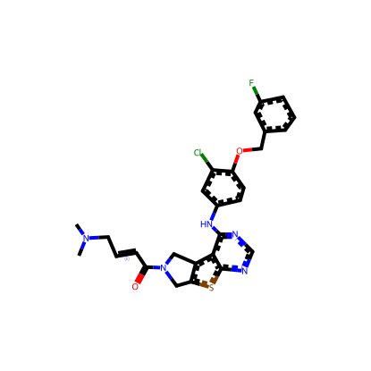 CN(C)C/C=C/C(=O)N1Cc2sc3ncnc(Nc4ccc(OCc5cccc(F)c5)c(Cl)c4)c3c2C1